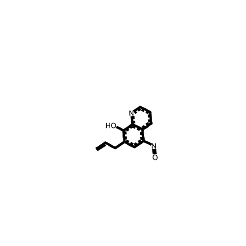 C=CCc1cc(N=O)c2cccnc2c1O